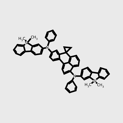 C[Si]1(C)c2ccccc2-c2ccc(N(c3ccccc3)c3ccc4c(c3)C3(CC3)c3cccc5c(N(c6ccccc6)c6ccc7c(c6)[Si](C)(C)c6ccccc6-7)ccc-4c35)cc21